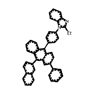 CCc1nc2ccccc2n1-c1ccc(-c2c3ccccc3c(-c3ccc4ccccc4c3)c3cc(-c4ccccc4)ccc23)cc1